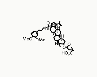 C=C(C)[C@@H]1CC[C@]2(C(=O)NCCCc3ccc(OC)c(OC)c3)CC[C@]3(C)[C@H](CC[C@@H]4[C@@]5(C)CC[C@H](OC(=O)CC(C)(C)C(=O)O)C(C)(C)[C@@H]5CC[C@]43C)[C@@H]12